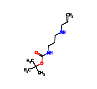 C=CCNCCCNC(=O)OC(C)(C)C